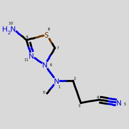 CN(CCC#N)N1CSC(N)=N1